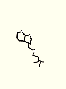 C[Si](C)(C)CCOCn1cnc2ncccc21